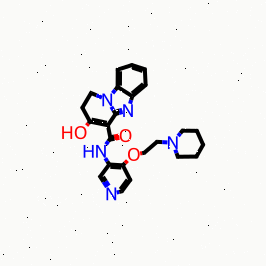 O=C(Nc1cnccc1OCCN1CCCCC1)C1=C(O)CCn2c1nc1ccccc12